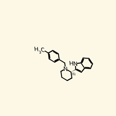 Cc1ccc(CN2CCCC[C@H]2c2cc3ccccc3[nH]2)cc1